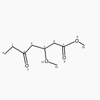 CCC(=O)CC(CC(=O)OC)OC